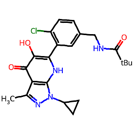 Cc1nn(C2CC2)c2[nH]c(-c3cc(CNC(=O)C(C)(C)C)ccc3Cl)c(O)c(=O)c12